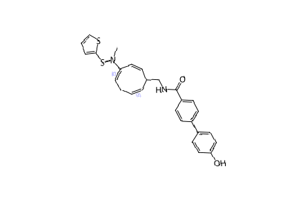 CN(Sc1cccs1)/C1=C/C/C=C\C(CNC(=O)c2ccc(-c3ccc(O)cc3)cc2)C=C1